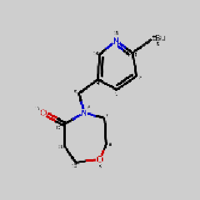 CC(C)(C)c1ccc(CN2CCOCCC2=O)cn1